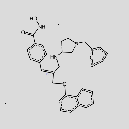 O=C(NO)c1ccc(/C=C(\CNC2CCN(Cc3ccccc3)C2)COc2cccc3ccccc23)cc1